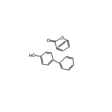 O=c1oc2ccc1cc2.Oc1ccc(-c2ccccc2)cc1